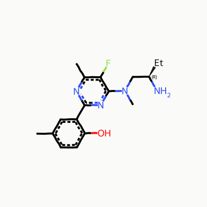 CC[C@@H](N)CN(C)c1nc(-c2cc(C)ccc2O)nc(C)c1F